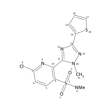 CNS(=O)(=O)c1ccc(Cl)nc1-c1nc(-c2cccs2)nn1C